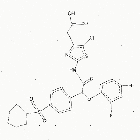 O=C(O)Cc1nc(NC(=O)C(Oc2ccc(F)cc2F)c2ccc(S(=O)(=O)C3CCCCC3)cc2)sc1Cl